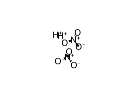 O=[N+]([O-])[O-].O=[N+]([O-])[O-].[H+].[H+]